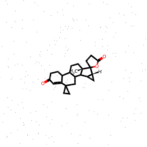 C[C@]12CCC3C4CCC(=O)C=C4C4(CC4)CC3C1C1C[C@H]1C21CCC(=O)O1